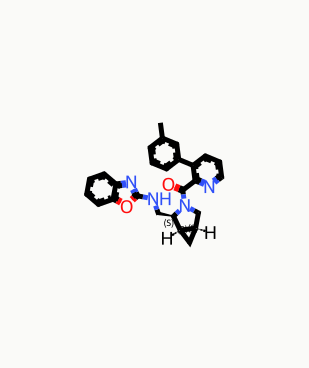 Cc1cccc(-c2cccnc2C(=O)N2C[C@H]3C[C@H]3[C@H]2CNc2nc3ccccc3o2)c1